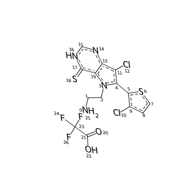 NCCn1c(-c2sccc2Cl)c(Cl)c2nc[nH]c(=S)c21.O=C(O)C(F)(F)F